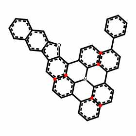 c1ccc(-c2ccc(-c3ccccc3N(c3ccccc3-c3ccccc3)c3ccccc3-c3cccc4c3oc3cc5ccccc5cc34)cc2)cc1